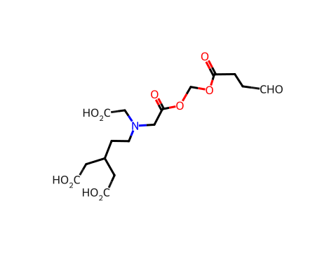 O=CCCC(=O)OCOC(=O)CN(CCC(CC(=O)O)CC(=O)O)CC(=O)O